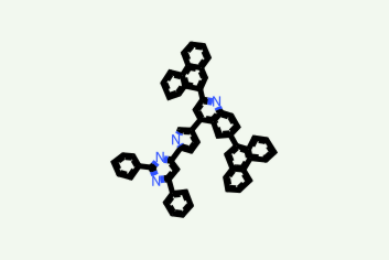 c1ccc(-c2cc(-c3ccc(-c4cc(-c5cc6ccccc6c6ccccc56)nc5ccc(-c6cc7ccccc7c7ccccc67)cc45)cn3)nc(-c3ccccc3)n2)cc1